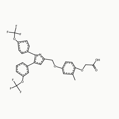 Cc1cc(OCc2cc(-c3cccc(OC(F)(F)F)c3)n(-c3ccc(OC(F)(F)F)cc3)n2)ccc1OCC(=O)O